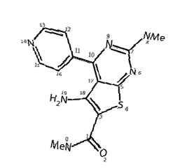 CNC(=O)c1sc2nc(NC)nc(-c3ccncc3)c2c1N